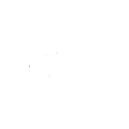 CCCCCC(C)(C)c1c[c]c(C)cc1